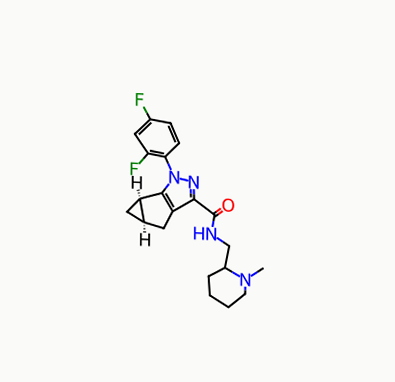 CN1CCCCC1CNC(=O)c1nn(-c2ccc(F)cc2F)c2c1C[C@H]1C[C@@H]21